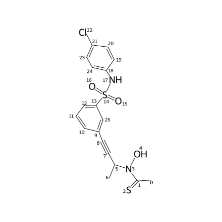 CC(=S)N(O)C(C)C#Cc1cccc(S(=O)(=O)Nc2ccc(Cl)cc2)c1